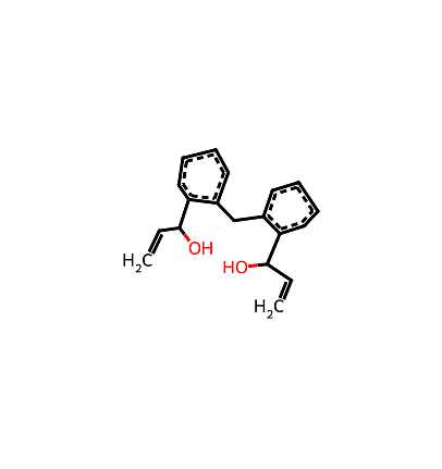 C=CC(O)c1ccccc1Cc1ccccc1C(O)C=C